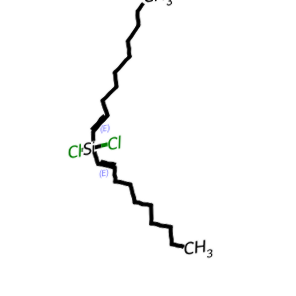 CCCCCCCC/C=C/[Si](Cl)(Cl)/C=C/CCCCCCCC